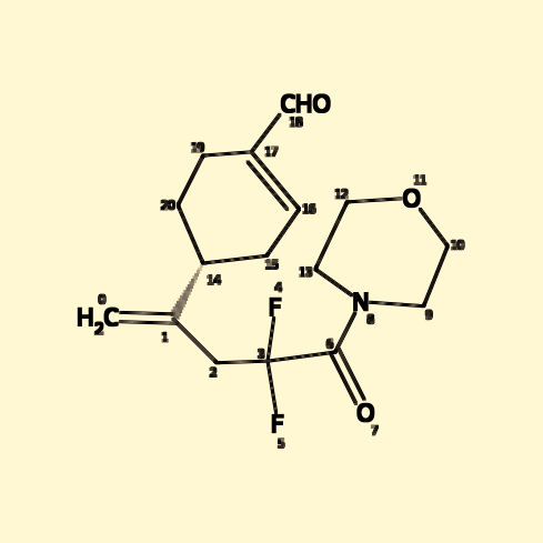 C=C(CC(F)(F)C(=O)N1CCOCC1)[C@H]1CC=C(C=O)CC1